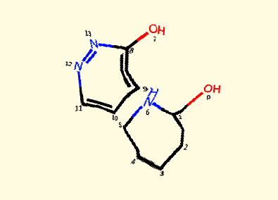 OC1CCCCN1.Oc1cccnn1